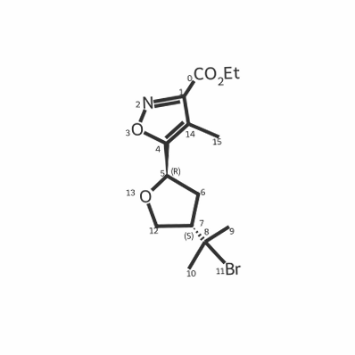 CCOC(=O)c1noc([C@H]2C[C@H](C(C)(C)Br)CO2)c1C